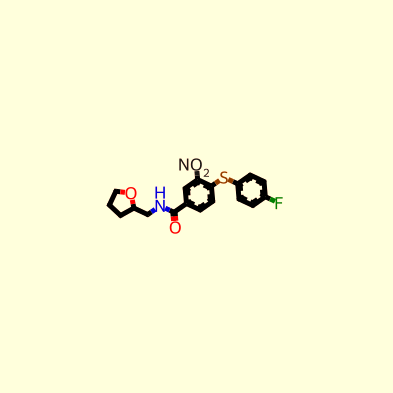 O=C(NCC1CCCO1)c1ccc(Sc2ccc(F)cc2)c([N+](=O)[O-])c1